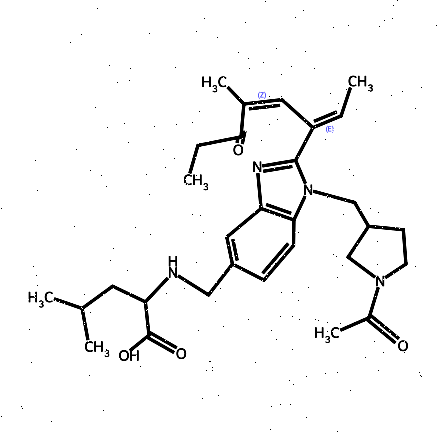 C/C=C(\C=C(\C)C(=O)CC)c1nc2cc(CNC(CC(C)C)C(=O)O)ccc2n1CC1CCN(C(C)=O)C1